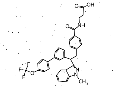 Cn1nc(C(Cc2ccc(C(=O)NCCC(=O)O)cc2)c2cccc(-c3ccc(OC(F)(F)F)cc3)c2)c2ccccc21